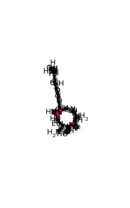 CC[C@@H]1NC(=O)[C@H](CCCCN)NC(=O)[C@H](Cc2ccc(O)cc2)NC(=O)[C@H](Cc2ccccc2)NC(=O)[C@@H](N)Cc2cn(nn2)CCCC[C@@H](C(=O)NCCCOCCOCCOCCCNC(=O)CCCC[C@H]2SC[C@H]3NC(=O)N[C@H]32)NC(=O)[C@H](Cc2c[nH]cn2)NC1=O